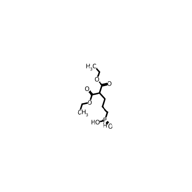 CCOC(=O)C(CCC[PH](=O)O)C(=O)OCC